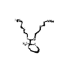 CSCCSCCSC(SCCSCCS)C1(C)SCCCS1